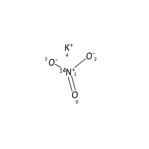 O=[14N+]([O-])[O-].[K+]